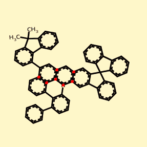 CC1(C)c2ccccc2-c2c(-c3ccc(N(c4ccc5c(c4)-c4ccccc4C54c5ccccc5-c5ccccc54)c4cccc(-c5ccccc5)c4-c4ccccc4-c4ccccc4)cc3)cccc21